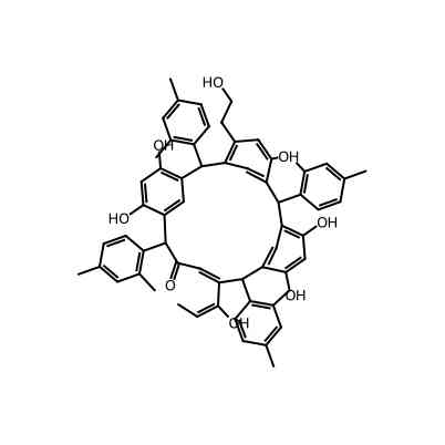 C/C=C(O)\C1=C/C(=O)C(c2ccc(C)cc2C)c2cc(c(O)cc2O)C(c2ccc(C)cc2C)c2cc(c(O)cc2CCO)C(c2ccc(C)cc2C)c2cc(c(O)cc2O)C1c1ccc(C)cc1C